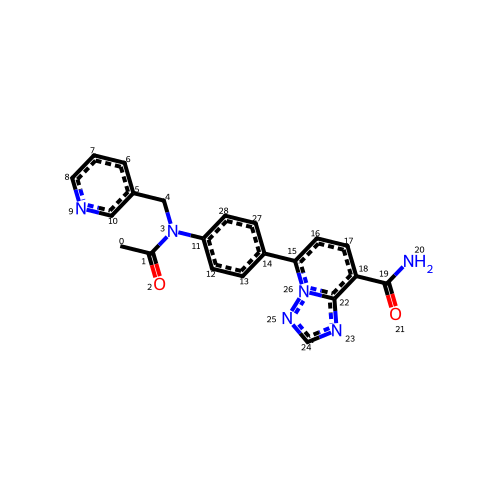 CC(=O)N(Cc1cccnc1)c1ccc(-c2ccc(C(N)=O)c3n[c]nn23)cc1